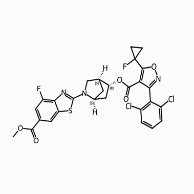 COC(=O)c1cc(F)c2nc(N3C[C@@H]4C[C@H]3C[C@H]4OC(=O)c3c(-c4c(Cl)cccc4Cl)noc3C3(F)CC3)sc2c1